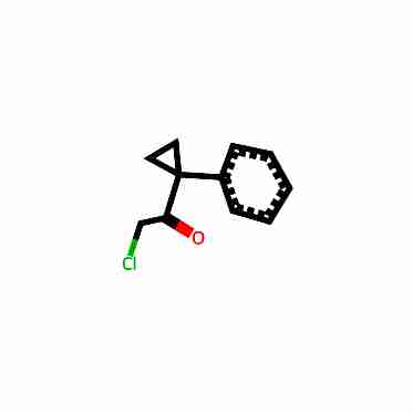 O=C(CCl)C1(c2ccccc2)CC1